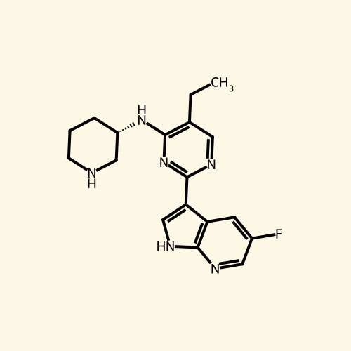 CCc1cnc(-c2c[nH]c3ncc(F)cc23)nc1N[C@H]1CCCNC1